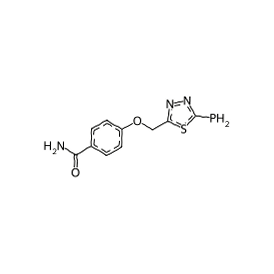 NC(=O)c1ccc(OCc2nnc(P)s2)cc1